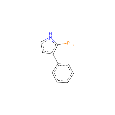 Pc1[nH]ccc1-c1ccccc1